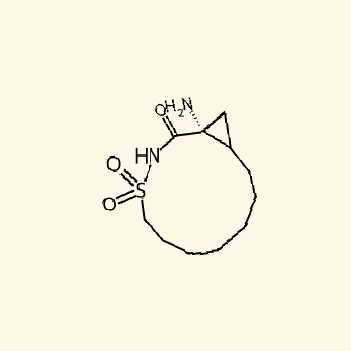 N[C@]12CC1CCCCCCCS(=O)(=O)NC2=O